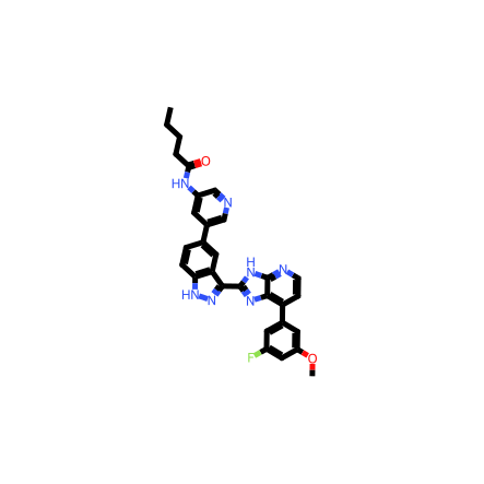 CCCCC(=O)Nc1cncc(-c2ccc3[nH]nc(-c4nc5c(-c6cc(F)cc(OC)c6)ccnc5[nH]4)c3c2)c1